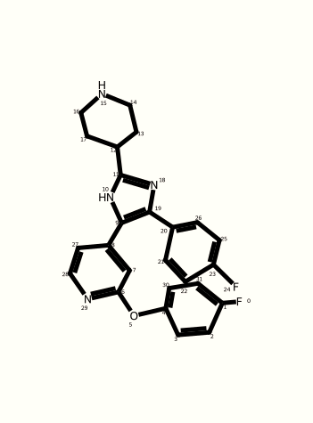 Fc1ccc(Oc2cc(-c3[nH]c(C4CCNCC4)nc3-c3ccc(F)cc3)ccn2)cc1